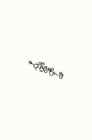 Cc1cc(C#N)cc(O)c1-c1ccc2oc(N[C@@H]3CCCN(CCc4ncco4)C3)nc2n1